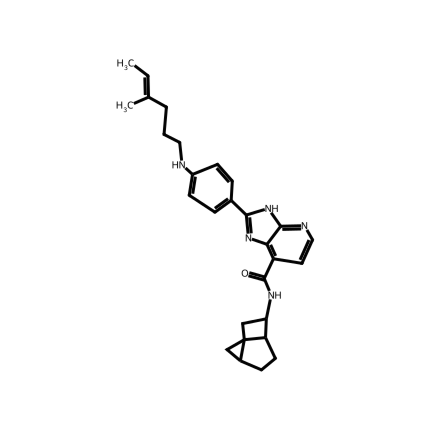 C/C=C(\C)CCCNc1ccc(-c2nc3c(C(=O)NC4CC56CC5CCC46)ccnc3[nH]2)cc1